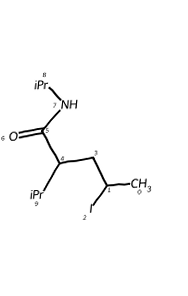 CC(I)CC(C(=O)NC(C)C)C(C)C